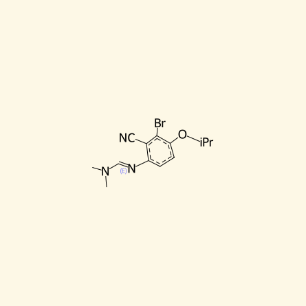 CC(C)Oc1ccc(/N=C/N(C)C)c(C#N)c1Br